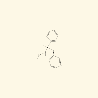 CNC(=O)C(C)(Cc1ccccc1)c1ccccc1